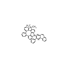 CC1(C)c2cccc3c4ccccc4c4cccc5c4c4c(c1ccc4n5-c1nc4ccc5ccccc5c4nc1-c1ccccc1)c23